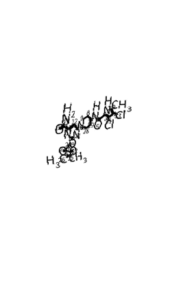 Cc1[nH]c(C(=O)NC2CCN(c3cc(C(N)=O)nc(OCS(=O)(=O)C(C)C)n3)CC2)c(Cl)c1Cl